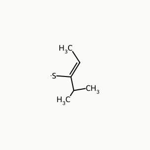 CC=C([S])C(C)C